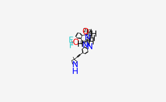 [2H]C([2H])([2H])N1C(=O)c2cccc(OC(F)F)c2[C@H]2C[C@@H]1c1nc3ccc(C#CC4(C)CCNC4)cc3n12